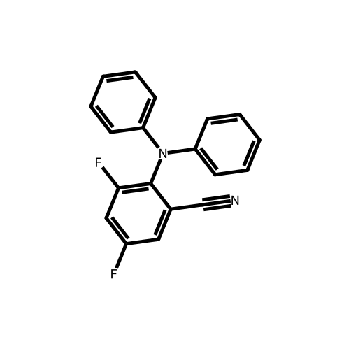 N#Cc1cc(F)cc(F)c1N(c1ccccc1)c1ccccc1